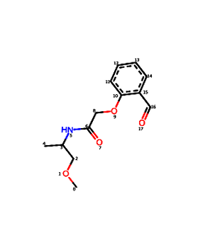 COCC(C)NC(=O)COc1ccccc1C=O